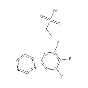 CCS(=O)(O)=S.Fc1cccc(F)c1F.c1cncnc1